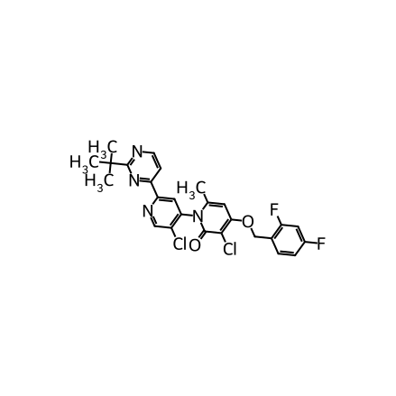 Cc1cc(OCc2ccc(F)cc2F)c(Cl)c(=O)n1-c1cc(-c2ccnc(C(C)(C)C)n2)ncc1Cl